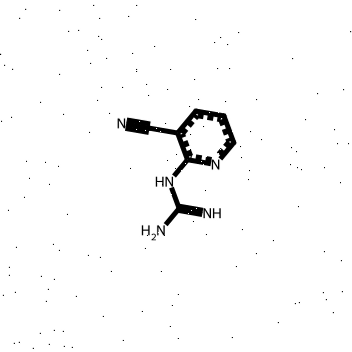 N#Cc1cccnc1NC(=N)N